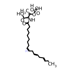 CCC=CCC=CC/C=C\CCCCCCCC(=O)N[C@H](C(=O)O)[C@@H](C)OP(=O)(O)O